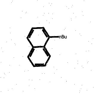 CCCCc1cccc2cc[c]cc12